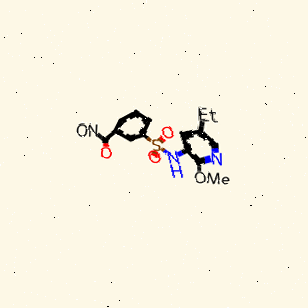 CCc1cnc(OC)c(NS(=O)(=O)c2cccc(C(=O)N=O)c2)c1